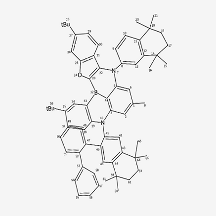 Cc1cc2c3c(c1)N(c1ccc4c(c1)C(C)(C)CCC4(C)C)c1c(oc4cc(C(C)(C)C)ccc14)B3c1cc(C(C)(C)C)ccc1N2c1cc2c(cc1-c1ccccc1-c1ccccc1)C(C)(C)CCC2(C)C